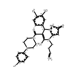 C=CCCN1C(C)=C(C(=O)N2CCN(c3ccc(F)cc3)CC2)C(c2ccc(Cl)c(Cl)c2)n2[nH]c(=O)cc21